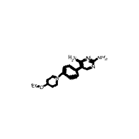 CCOC1CCN(c2ccc(-c3cnc(N)nc3N)cc2)CC1